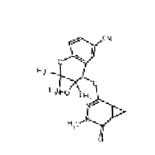 CN1N=C(OC2c3cc(C#N)ccc3OC(C)(C)C2(C)O)C2CC2C1=O